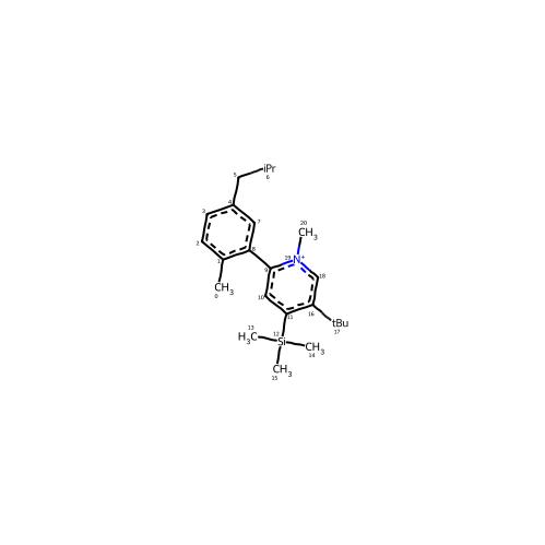 Cc1ccc(CC(C)C)cc1-c1cc([Si](C)(C)C)c(C(C)(C)C)c[n+]1C